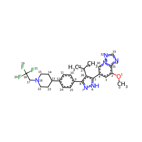 COc1cc(-c2[nH]nc(-c3ccc(C4CCN(CC(F)(F)F)CC4)cc3)c2C(C)C)cn2ncnc12